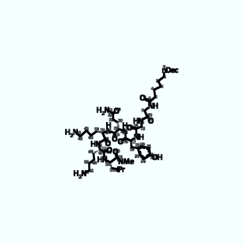 CCCCCCCCCCCCCCCC(=O)NCC(=O)NCC(=O)N[C@@H](Cc1ccc(O)cc1)C(=O)N[C@@H](CCC(N)=O)C(=O)N[C@@H](CCCCN)C(=O)N[C@@H](CCCCN)C(=O)N[C@@H](CC(C)C)C(=O)NC